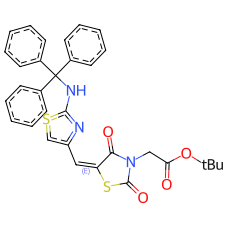 CC(C)(C)OC(=O)CN1C(=O)S/C(=C/c2csc(NC(c3ccccc3)(c3ccccc3)c3ccccc3)n2)C1=O